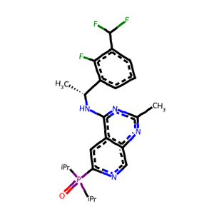 Cc1nc(N[C@H](C)c2cccc(C(F)F)c2F)c2cc(P(=O)(C(C)C)C(C)C)ncc2n1